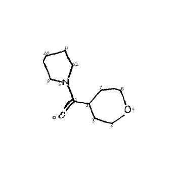 O=C(C1CCOCC1)N1CCCC1